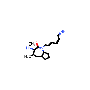 CNC1C(=O)N(C/C=C/C=C\C=N)C2CCCC2CC1C